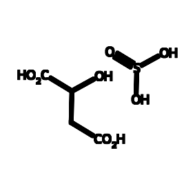 O=C(O)CC(O)C(=O)O.O=S(O)O